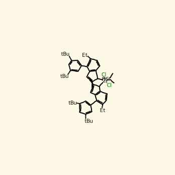 CCc1ccc2c(c1-c1cc(C(C)(C)C)cc(C(C)(C)C)c1)C=C(C)[CH]2[Zr]([Cl])([Cl])([CH]1C(C)=Cc2c1ccc(CC)c2-c1cc(C(C)(C)C)cc(C(C)(C)C)c1)[SiH](C)C